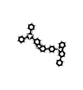 c1ccc(-c2ccc3c4ccccc4n(-c4ccc(-c5ccc6oc7cc(-c8nc(-c9ccccc9)nc(-c9ccccc9)n8)ccc7c6c5)cc4)c3c2)cc1